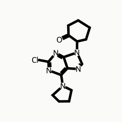 O=C1CCCCC1n1cnc2c(N3CCCC3)nc(Cl)nc21